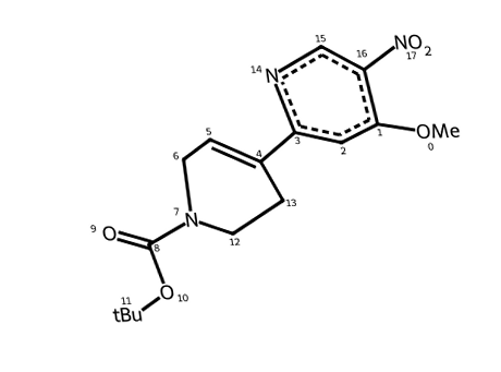 COc1cc(C2=CCN(C(=O)OC(C)(C)C)CC2)ncc1[N+](=O)[O-]